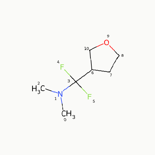 CN(C)C(F)(F)C1CCOC1